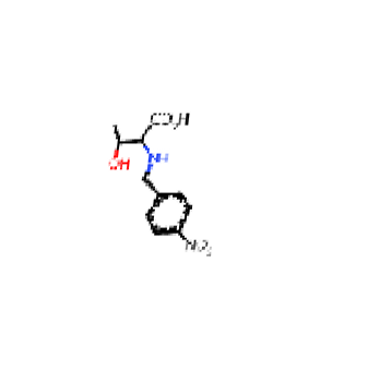 CC(O)C(NCc1ccc([N+](=O)[O-])cc1)C(=O)O